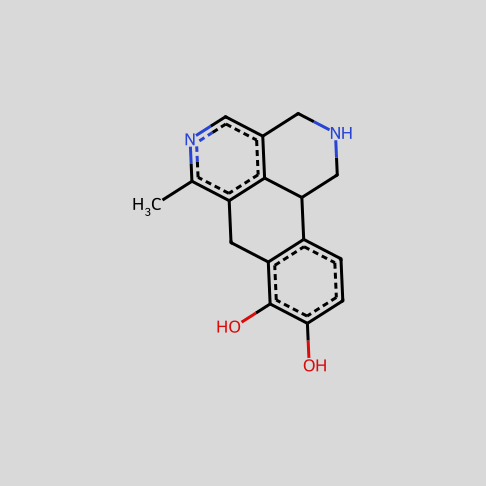 Cc1ncc2c3c1Cc1c(ccc(O)c1O)C3CNC2